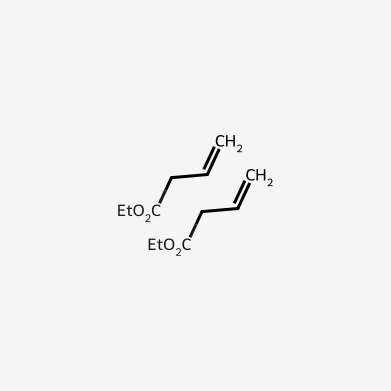 C=CCC(=O)OCC.C=CCC(=O)OCC